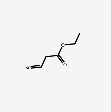 CCOC(=O)C[CH]=[Sn]